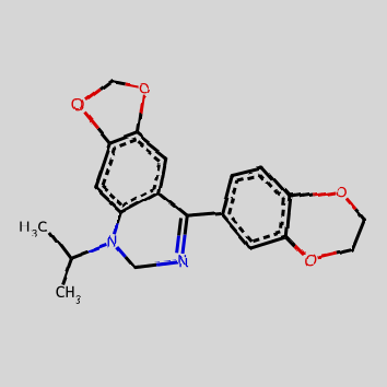 CC(C)N1CN=C(c2ccc3c(c2)OCCO3)c2cc3c(cc21)OCO3